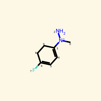 CN(N)C1=CC=C(F)CC1